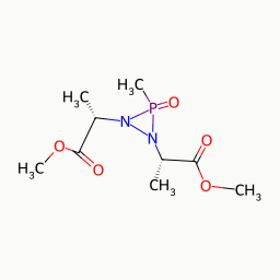 COC(=O)[C@H](C)N1N([C@@H](C)C(=O)OC)P1(C)=O